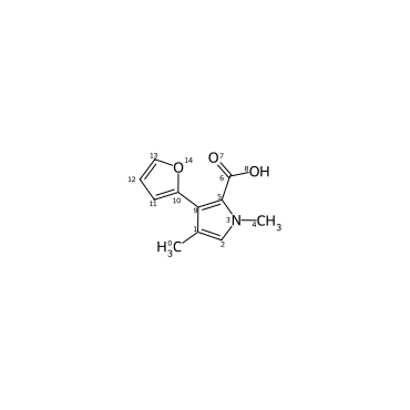 Cc1cn(C)c(C(=O)O)c1-c1ccco1